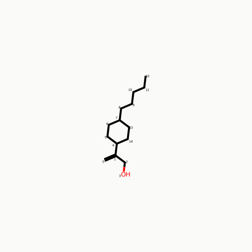 C=C(CO)C1CCC(CCCCC)CC1